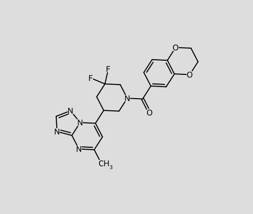 Cc1cc(C2CN(C(=O)c3ccc4c(c3)OCCO4)CC(F)(F)C2)n2ncnc2n1